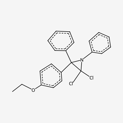 CCOc1ccc(C2(c3ccccc3)N(c3ccccc3)C2(Cl)Cl)cc1